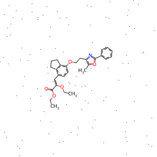 CCOC(=O)C(=Cc1ccc(OCCc2nc(-c3ccccc3)oc2C)c2c1CCC2)OCC